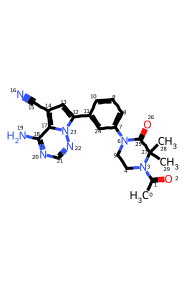 CC(=O)N1CCN(c2cccc(-c3cc(C#N)c4c(N)ncnn34)c2)C(=O)C1(C)C